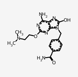 CN(C)CCOc1nc(N)c2nc(O)n(Cc3ccc(C(N)=O)cc3)c2n1